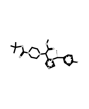 COC(=O)C(c1cncn1[C@H](C)c1ccc(F)cc1)N1CCN(C(=O)OC(C)(C)C)CC1